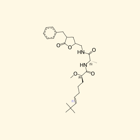 CO[C@H](CCC/C=C/C(C)(C)C)C(=O)N[C@@H](C)C(=O)NCC1CC(Cc2ccccc2)C(=O)O1